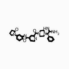 N=C(N)[C@@H](c1ccccc1)N1CCN(C(=O)c2cc(-c3nc4cc(N5CCCC5=O)ccc4o3)ccn2)CC1